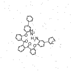 Nc1cc(-c2ccccc2)ccc1Oc1ccccc1C(=O)c1ccccc1C(=O)c1ccccc1Oc1ccc(-c2ccccc2)cc1N